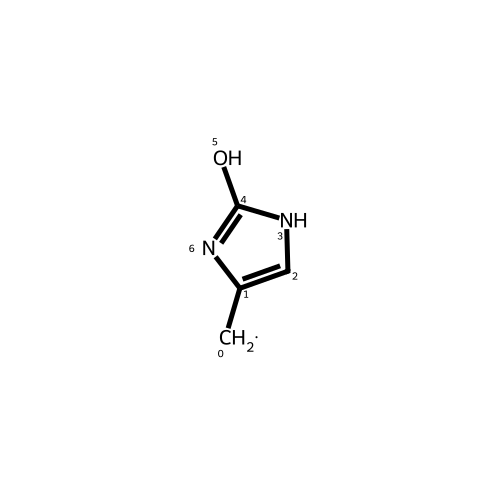 [CH2]c1c[nH]c(O)n1